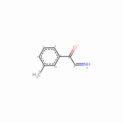 Cc1cccc(C(=O)C=N)c1